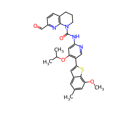 COc1cc(C)cc2cc(-c3cnc(NC(=O)N4CCCc5ccc(C=O)nc54)cc3OC(C)C)sc12